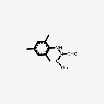 Cc1cc(C)c(NN(C=O)OC(C)(C)C)c(C)c1